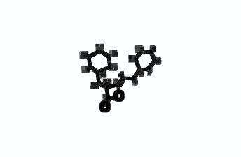 O=C1O/C(=C\CC2CCCCC2)C1CC1CCCCC1